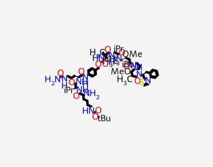 CC[C@H](C)[C@@H](C(CC(=O)N1CCC[C@H]1[C@H](OC)[C@@H](C)C(=O)N[C@@H](Cc1ccccc1)c1nccs1)OC)N(C)C(=O)[C@@H](NC(=O)C(C)(C)NC(=O)OCc1ccc(NC(=O)[C@H](CCCNC(N)=O)NC(=O)[C@@H](NC(=O)[C@@H](N)CCCCNC(=O)OC(C)(C)C)C(C)C)cc1)C(C)C